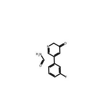 NC=O.O=C1C=C(c2cccc(F)c2)C=NC1